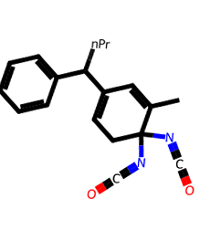 CCCC(C1=CCC(N=C=O)(N=C=O)C(C)=C1)c1ccccc1